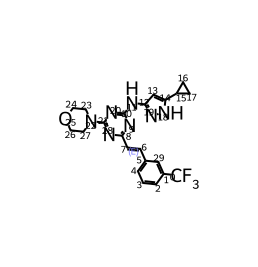 FC(F)(F)c1cccc(/C=C/c2nc(Nc3cc(C4CC4)[nH]n3)nc(N3CCOCC3)n2)c1